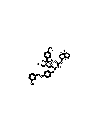 CC(C)CN(C[C@@H](O)[C@H](Cc1ccc(OCc2cccc(C#N)c2)cc1)NC(=O)OC1CO[C@H]2OCC[C@@H]12)S(=O)(=O)c1ccc([N+](=O)[O-])cc1